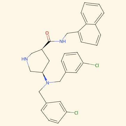 O=C(NCc1cccc2ccccc12)[C@@H]1CNC[C@H](N(Cc2cccc(Cl)c2)Cc2cccc(Cl)c2)C1